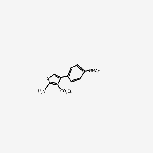 CCOC(=O)c1c(-c2ccc(NC(C)=O)cc2)csc1N